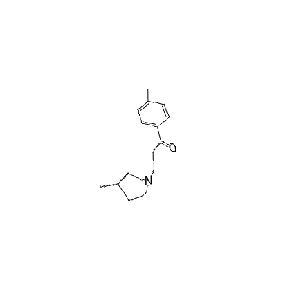 Cc1ccc(C(=O)CCN2CCC(C)C2)cc1